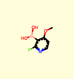 COc1ccnc(F)c1B(O)O